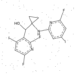 OC(c1c(I)cc(F)nc1F)C1(Nc2cc(I)cc(F)n2)CC1